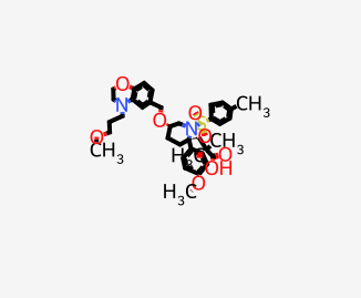 COCCCN1CCOc2ccc(CO[C@@H]3CC[C@](CC(C)(C)C(=O)O)(c4ccc(OC)cc4)N(S(=O)(=O)c4ccc(C)cc4)C3)cc21